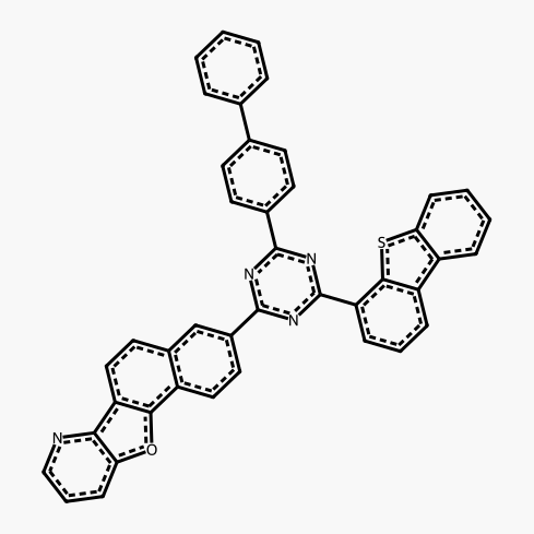 c1ccc(-c2ccc(-c3nc(-c4ccc5c(ccc6c7ncccc7oc56)c4)nc(-c4cccc5c4sc4ccccc45)n3)cc2)cc1